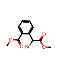 COC(=O)c1ccccc1C(Br)C(=O)OC